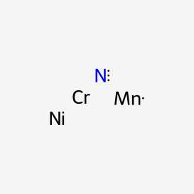 [Cr].[Mn].[N].[Ni]